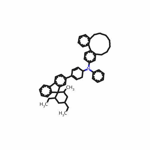 CCC1CC(C)C2(c3ccccc3-c3ccc(C4=CCC(N(c5ccccc5)c5ccc6c(c5)CCCCCCCc5ccccc5-6)C=C4)cc32)C(CC)C1